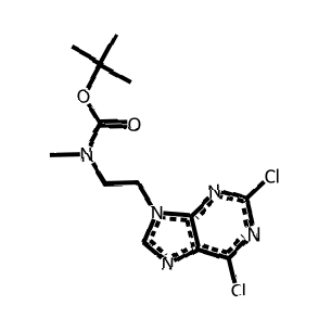 CN(CCn1cnc2c(Cl)nc(Cl)nc21)C(=O)OC(C)(C)C